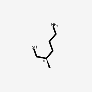 C[C@@H](CS)CCCN